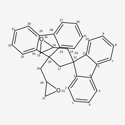 c1ccc2c(c1)-c1ccccc1C2(CC1CO1)CC1(CC2CO2)c2ccccc2-c2ccccc21